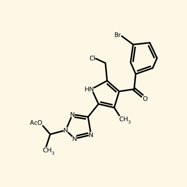 CC(=O)OC(C)n1nnc(-c2[nH]c(CCl)c(C(=O)c3cccc(Br)c3)c2C)n1